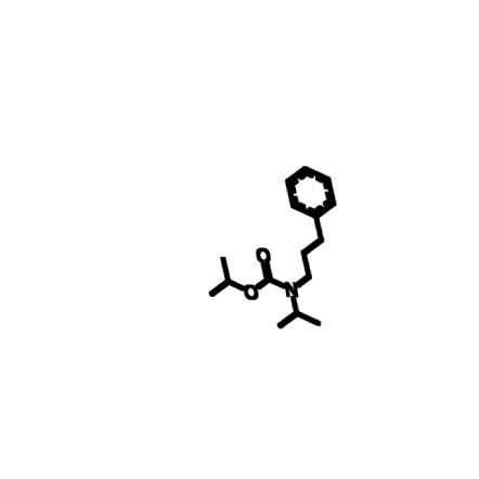 CC(C)OC(=O)N(CCCc1ccccc1)C(C)C